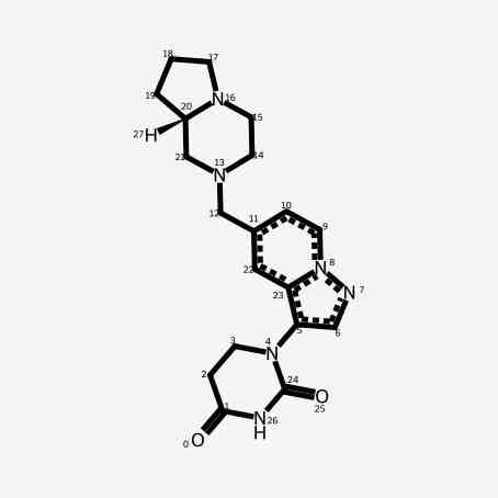 O=C1CCN(c2cnn3ccc(CN4CCN5CCC[C@H]5C4)cc23)C(=O)N1